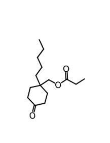 CCCCCC1(COC(=O)CC)CCC(=O)CC1